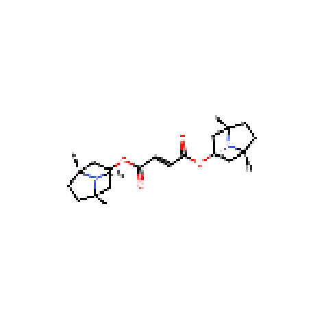 CN1[C@@H]2CC[C@H]1CC(OC(=O)C=CC(=O)OC1C[C@H]3CC[C@@H](C1)N3C)C2